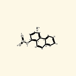 O=[S-](=O)Oc1cccc2c1ccc1ccccc12.[K+]